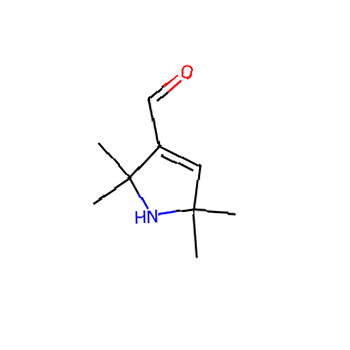 CC1(C)C=C(C=O)C(C)(C)N1